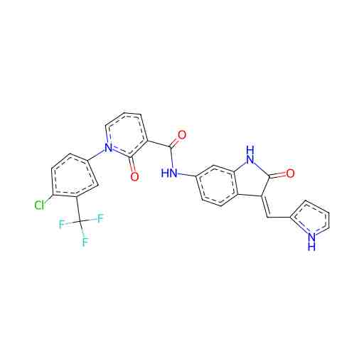 O=C1Nc2cc(NC(=O)c3cccn(-c4ccc(Cl)c(C(F)(F)F)c4)c3=O)ccc2/C1=C/c1ccc[nH]1